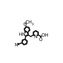 COc1ccc2c(Cc3cccc(C(=O)O)n3)c(-c3cccc(C#N)c3)[nH]c2c1